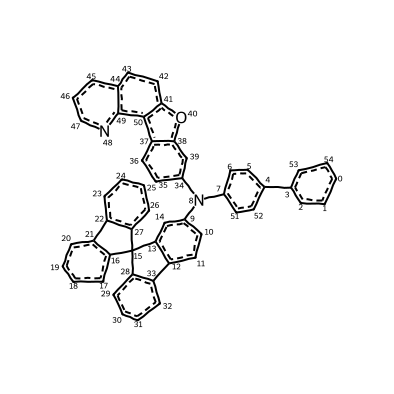 c1ccc(-c2ccc(N(c3ccc4c(c3)C3(c5ccccc5-c5ccccc53)c3ccccc3-4)c3ccc4c(c3)oc3ccc5cccnc5c34)cc2)cc1